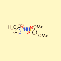 COc1ccc(S(=O)(=O)NNC(=O)NC(C)(C(F)(F)F)C(F)(F)F)c(OC)c1